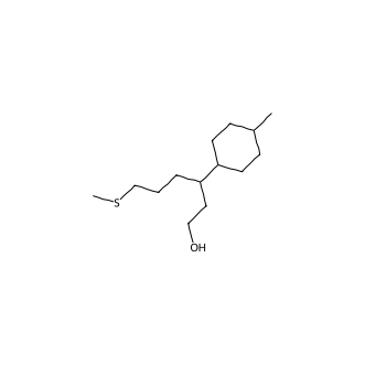 CSCCCC(CCO)C1CCC(C)CC1